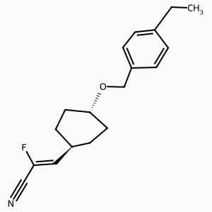 CCc1ccc(CO[C@H]2CC[C@H](C=C(F)C#N)CC2)cc1